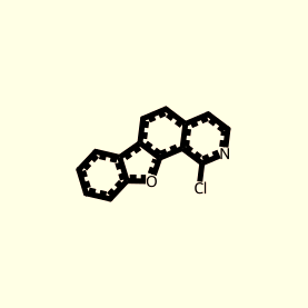 Clc1nccc2ccc3c4ccccc4oc3c12